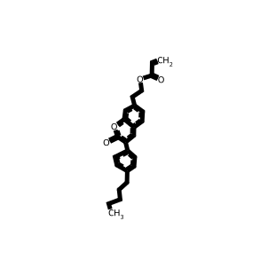 C=CC(=O)OCCc1ccc2cc(-c3ccc(CCCCC)cc3)c(=O)oc2c1